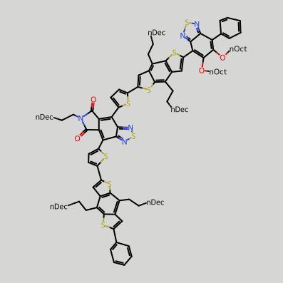 CCCCCCCCCCCCc1c2cc(-c3ccc(-c4c5c(c(-c6ccc(-c7cc8c(CCCCCCCCCCCC)c9sc(-c%10c(OCCCCCCCC)c(OCCCCCCCC)c(-c%11ccccc%11)c%11nsnc%10%11)cc9c(CCCCCCCCCCCC)c8s7)s6)c6nsnc46)C(=O)N(CCCCCCCCCCCC)C5=O)s3)sc2c(CCCCCCCCCCCC)c2cc(-c3ccccc3)sc12